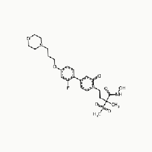 CC(CCn1ccc(-c2ccc(OCCCN3CCOCC3)cc2F)cc1=O)(C(=O)NO)S(C)(=O)=O